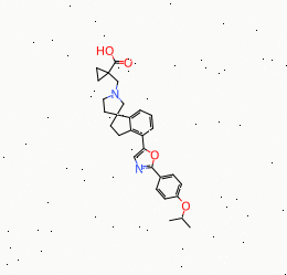 CC(C)Oc1ccc(-c2ncc(-c3cccc4c3CCC43CCN(CC4(C(=O)O)CC4)C3)o2)cc1